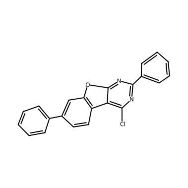 Clc1nc(-c2ccccc2)nc2oc3cc(-c4ccccc4)ccc3c12